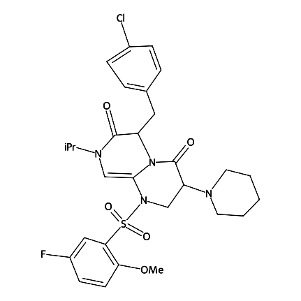 COc1ccc(F)cc1S(=O)(=O)N1CC(N2CCCCC2)C(=O)N2C1=CN(C(C)C)C(=O)C2Cc1ccc(Cl)cc1